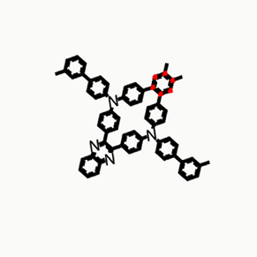 Cc1cccc(-c2ccc(N(c3ccc(-c4cccc(C)c4)cc3)c3ccc(-c4nc5ccccc5nc4-c4ccc(N(c5ccc(-c6cccc(C)c6)cc5)c5ccc(-c6cccc(C)c6)cc5)cc4)cc3)cc2)c1